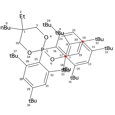 CCCCC1(CC)COP(Oc2c(C(C)(C)C)cc(C(C)(C)C)cc2C(C)(C)C)(c2c(C(C)(C)C)cc(C(C)(C)C)cc2C(C)(C)C)(c2c(C(C)(C)C)cc(C(C)(C)C)cc2C(C)(C)C)OC1